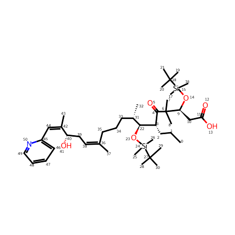 CCC[C@@H](C(=O)C(C)(C)[C@H](CC(=O)O)O[Si](C)(C)C(C)(C)C)[C@@H](O[Si](C)(C)C(C)(C)C)[C@@H](C)CCCC(C)=CC[C@H](O)C(C)=Cc1ccccn1